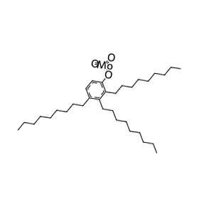 CCCCCCCCCc1ccc([O][Mo](=[O])=[O])c(CCCCCCCCC)c1CCCCCCCCC